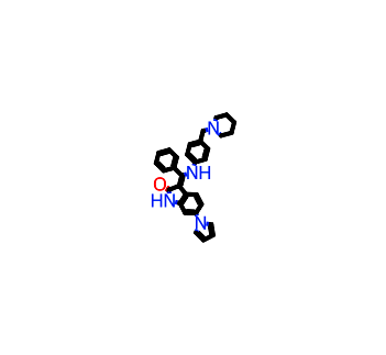 O=C1Nc2cc(-n3cccc3)ccc2C1=C(Nc1ccc(CN2CCCCC2)cc1)c1ccccc1